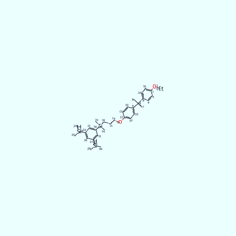 CCOc1ccc(C(C)(C)c2ccc(OCCC[Si](C)(C)c3cc([SiH](C)C)cc([SiH](C)C)c3)cc2)cc1